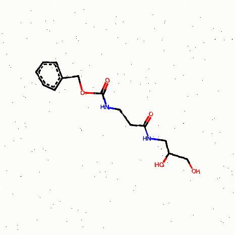 O=C(CCNC(=O)OCc1ccccc1)NCC(O)CO